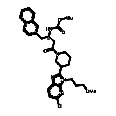 COCCCn1c(C2CCCN(C(=O)C[C@@H](Cc3ccc4ccccc4c3)NC(=O)OC(C)(C)C)C2)nc2ccc(Cl)nc21